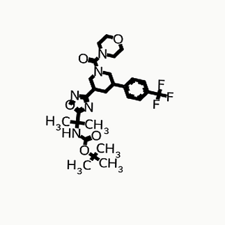 CC(C)(C)OC(=O)NC(C)(C)c1nc(C2CC(c3ccc(C(F)(F)F)cc3)CN(C(=O)N3CCOCC3)C2)no1